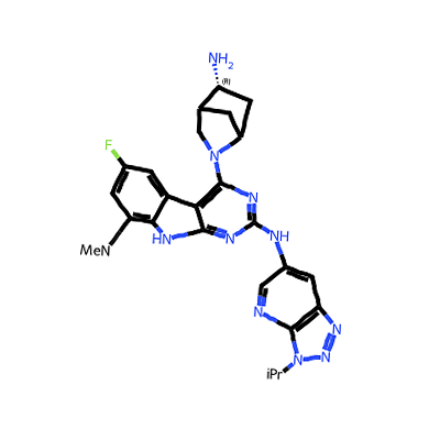 CNc1cc(F)cc2c1[nH]c1nc(Nc3cnc4c(c3)nnn4C(C)C)nc(N3CC4CC3C[C@H]4N)c12